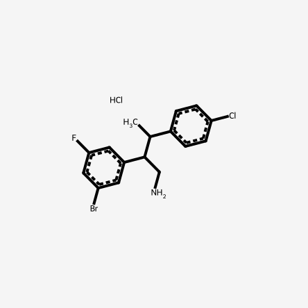 CC(c1ccc(Cl)cc1)C(CN)c1cc(F)cc(Br)c1.Cl